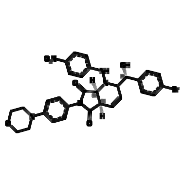 O=C1[C@@H]2[C@@H](C=CC([C@H](O)c3ccc(Br)cc3)N2Nc2ccc([N+](=O)[O-])cc2)C(=O)N1c1ccc(N2CCOCC2)cc1